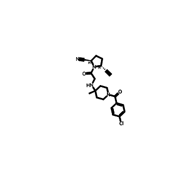 C#C[C@H]1CC[C@H](C#N)N1C(=O)CNC1(C)CCN(C(=O)c2ccc(Cl)cc2)CC1